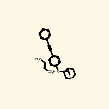 C(#Cc1ccc(OC2CN3CCC2CC3)cc1)c1ccccc1.O=C(O)/C=C/C(=O)O